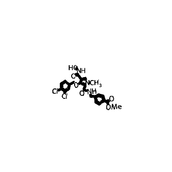 COC(=O)c1ccc(CNC(=O)c2c(OCc3ccc(Cl)c(Cl)c3)c(C(=O)NO)cn2C)cc1